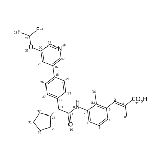 C/C(=C\c1cccc(NC(=O)[C@@H](c2ccc(-c3cncc(OC(F)F)c3)cc2)C2CCCC2)c1C)C(=O)O